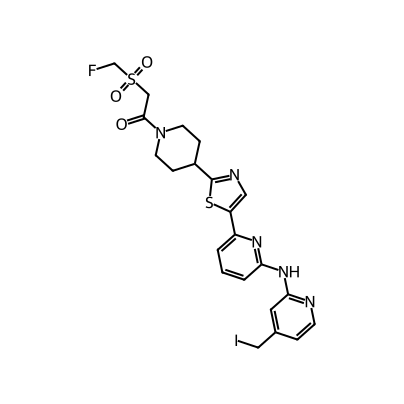 O=C(CS(=O)(=O)CF)N1CCC(c2ncc(-c3cccc(Nc4cc(CI)ccn4)n3)s2)CC1